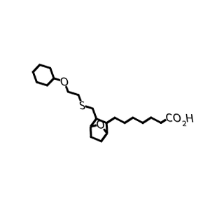 O=C(O)CCCCCCC1C2CCC(O2)C1CSCCOC1CCCCC1